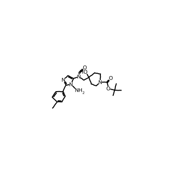 Cc1ccc(-c2ncc(N(C=O)CC3(O)CCN(C(=O)OC(C)(C)C)CC3)n2N)cc1